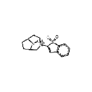 CN1C2CCC1CN(C1=Cc3ccccc3S1(=O)=O)CC2